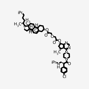 CC(C)CCC[C@@H](C)[C@H]1CC[C@H]2[C@@H]3CC=C4C[C@@H](OC(=O)COCC(=O)O[C@@H]5C[C@@H](C)c6c5ncnc6N5CCN(C(=O)[C@H](CNC(C)C)c6ccc(Cl)cc6)CC5)CC[C@]4(C)[C@H]3CC[C@]12C